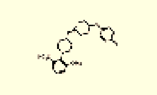 COc1cccc(C(=O)O)c1N1CCC(CN2CCC(Cc3ccc(F)cc3)CC2)CC1